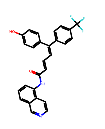 O=C(C=CC=C(c1ccc(O)cc1)c1ccc(C(F)(F)F)cc1)Nc1cccc2cnccc12